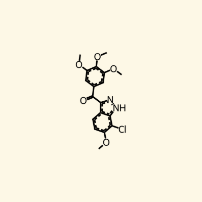 COc1cc(C(=O)c2n[nH]c3c(Cl)c(OC)ccc23)cc(OC)c1OC